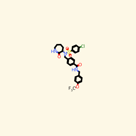 O=C(NCc1ccc(OC(F)(F)F)cc1)c1ccc(CN([C@@H]2CCCCNC2=O)S(=O)(=O)c2ccc(Cl)cc2)cc1